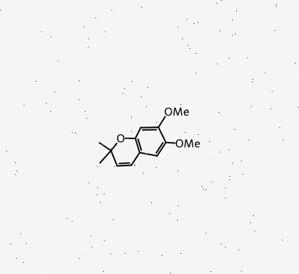 COc1cc2c(cc1OC)OC(C)(C)C=[C]2